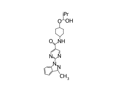 Cc1nn(-c2ncc(C(=O)NC3CCC(OC(O)C(C)C)CC3)cn2)c2ccccc12